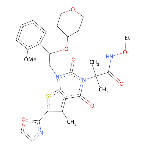 CCONC(=O)C(C)(C)n1c(=O)c2c(C)c(-c3ncco3)sc2n(CC(OC2CCOCC2)c2ccccc2OC)c1=O